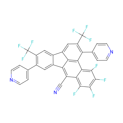 N#Cc1c2c3c(cc(C(F)(F)F)c(-c4ccncc4)c3c3c(F)c(F)c(F)c(F)c13)-c1cc(C(F)(F)F)c(-c3ccncc3)cc1-2